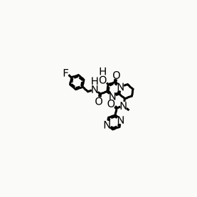 CN(C(=O)c1cnccn1)C1CCCn2c1nc(C(=O)NCc1ccc(F)cc1)c(O)c2=O